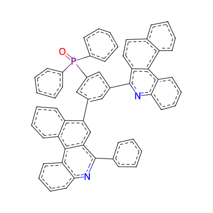 O=P(c1ccccc1)(c1ccccc1)c1cc(-c2cc3c(-c4ccccc4)nc4ccccc4c3c3ccccc23)cc(-c2nc3ccccc3c3c2ccc2ccccc23)c1